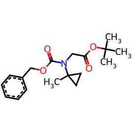 CC(C)(C)OC(=O)CN(C(=O)OCc1ccccc1)C1(C)CC1